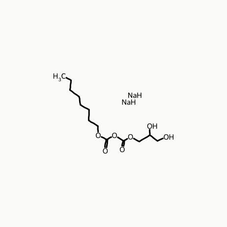 CCCCCCCCOC(=O)OC(=O)OCC(O)CO.[NaH].[NaH]